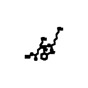 CC(C)(C)CCCCCC(=O)OO.CC(C)(C)CCCCCC(=O)OO.CC(C)c1ccccc1C(C)C